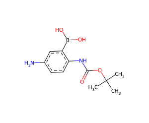 CC(C)(C)OC(=O)Nc1ccc(N)cc1B(O)O